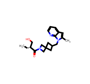 CC[C@H](CO)C(=O)N1CC2(CC(Cn3c(C)cc4cccnc43)C2)C1